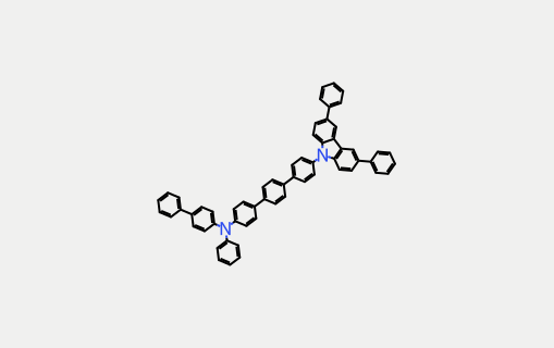 c1ccc(-c2ccc(N(c3ccccc3)c3ccc(-c4ccc(-c5ccc(-n6c7ccc(-c8ccccc8)cc7c7cc(-c8ccccc8)ccc76)cc5)cc4)cc3)cc2)cc1